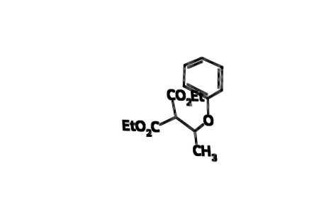 CCOC(=O)C(C(=O)OCC)C(C)Oc1ccccc1